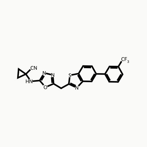 N#CC1(Nc2nnc(Cc3nc4cc(-c5cccc(C(F)(F)F)c5)ccc4s3)o2)CC1